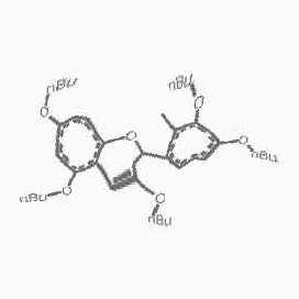 CCCCOC1=Cc2c(OCCCC)cc(OCCCC)cc2OC1c1ccc(OCCCC)c(OCCCC)c1C